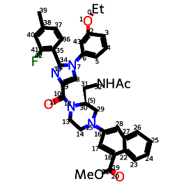 CCOc1cccc(-n2cc(C(=O)N3CCN(c4cc(C(=O)OC)c5ccccc5c4)C[C@@H]3CNC(C)=O)nc2-c2ccc(C)cc2F)c1